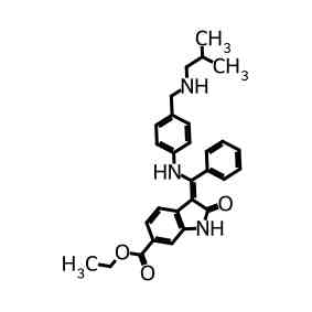 CCOC(=O)c1ccc2c(c1)NC(=O)C2=C(Nc1ccc(CNCC(C)C)cc1)c1ccccc1